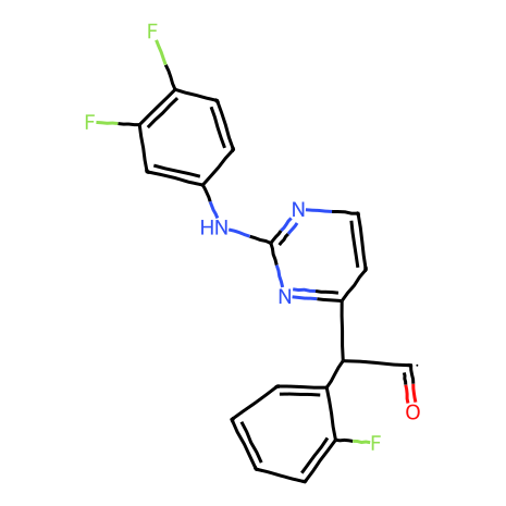 O=[C]C(c1ccnc(Nc2ccc(F)c(F)c2)n1)c1ccccc1F